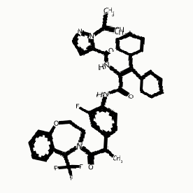 CC(C(=O)N1CCOc2ccccc2C1C(F)(F)F)c1ccc(NC(=O)C(NC(=O)c2ccnn2C(C)C)C(C2CCCCC2)C2CCCCC2)c(F)c1